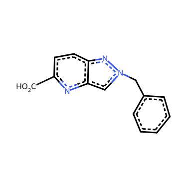 O=C(O)c1ccc2nn(Cc3ccccc3)cc2n1